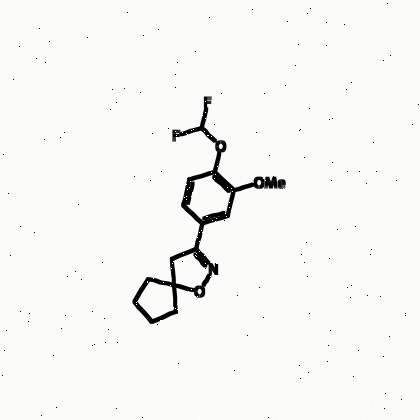 COc1cc(C2=NOC3(CCCC3)C2)ccc1OC(F)F